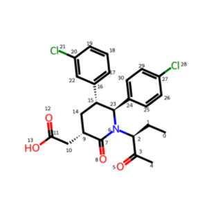 CC[C@@H](C(C)=O)N1C(=O)[C@H](CC(=O)O)C[C@H](c2cccc(Cl)c2)[C@H]1c1ccc(Cl)cc1